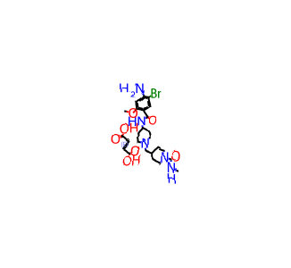 CNC(=O)N1CCC(CN2CCC(NC(=O)c3cc(Br)c(N)cc3OC)CC2)CC1.O=C(O)/C=C/C(=O)O